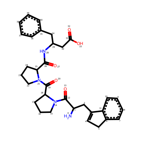 NC(CC1=CCc2ccccc21)C(=O)N1CCCC1C(=O)N1CCCC1C(=O)NC(CC(=O)O)Cc1ccccc1